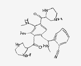 CNc1c(C(=O)C2CNCCN2)cc(C(NC)c2ccccc2C#N)c(C(=O)C2CNCCN2)c1NC